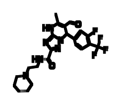 CC1=C(C=O)C(c2ccc(C(F)(F)F)c(F)c2)n2nc(C(=O)NCCN3CCCCC3)nc2N1